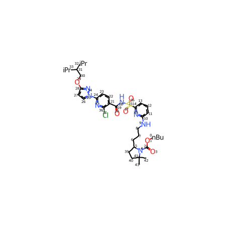 CCCCOC(=O)N1C(CCCNc2cccc(S(=O)(=O)NC(=O)c3ccc(-n4ccc(OCC(C(C)C)C(C)C)n4)nc3Cl)n2)CCC1(C)C